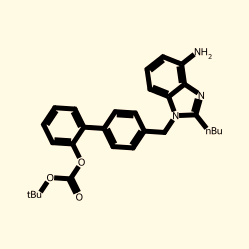 CCCCc1nc2c(N)cccc2n1Cc1ccc(-c2ccccc2OC(=O)OC(C)(C)C)cc1